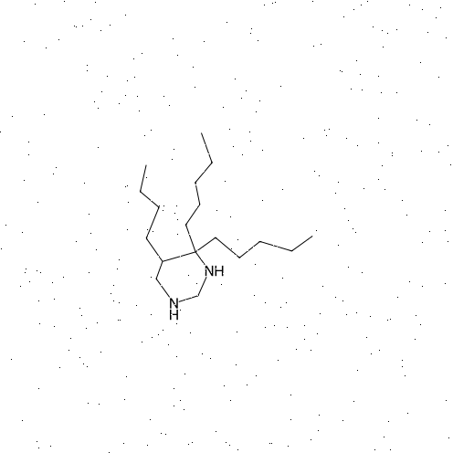 CCCCCC1(CCCCC)NCNCC1CCCC